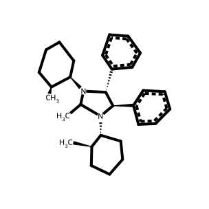 CC1N([C@@H]2CCCC[C@H]2C)[C@H](c2ccccc2)[C@@H](c2ccccc2)N1[C@@H]1CCCC[C@@H]1C